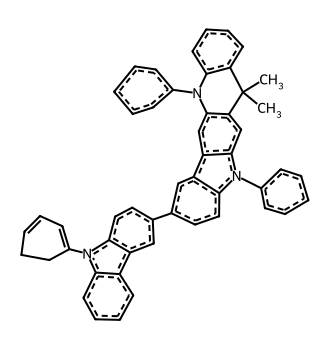 CC1(C)c2ccccc2N(c2ccccc2)c2cc3c4cc(-c5ccc6c(c5)c5ccccc5n6C5=CC=CCC5)ccc4n(-c4ccccc4)c3cc21